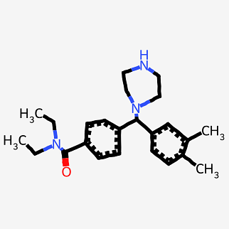 CCN(CC)C(=O)c1ccc(C(c2ccc(C)c(C)c2)N2CCNCC2)cc1